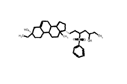 CCC(O)CC(CC[C@H]1CCC2C3CC=C4C[C@](O)(CC)CCC4C3CCC21C)S(=O)(=O)c1ccccc1